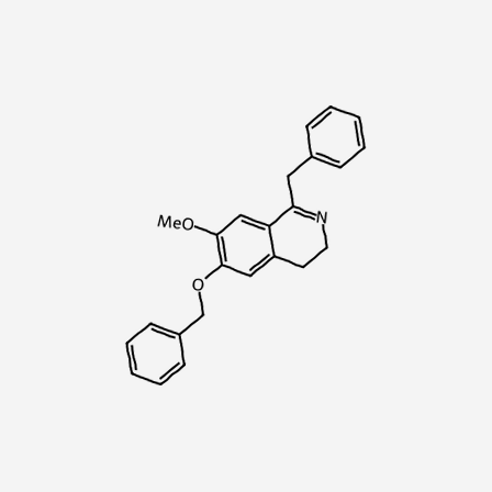 COc1cc2c(cc1OCc1ccccc1)CCN=C2Cc1ccccc1